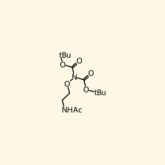 CC(=O)NCCON(C(=O)OC(C)(C)C)C(=O)OC(C)(C)C